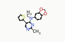 Cc1ncc(-c2cccs2)c(N(C)c2ccc3c(c2)OCO3)n1